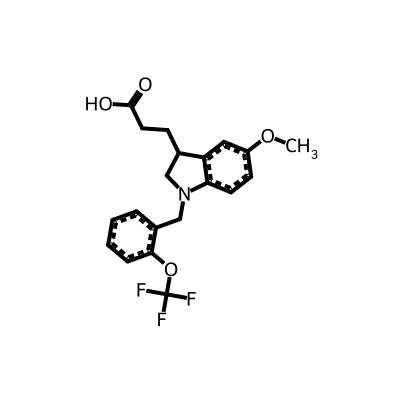 COc1ccc2c(c1)C(CCC(=O)O)CN2Cc1ccccc1OC(F)(F)F